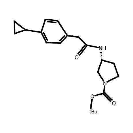 CC(C)(C)OC(=O)N1CC[C@@H](NC(=O)Cc2ccc(C3CC3)cc2)C1